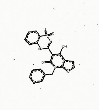 O=c1c(C2=NS(=O)(=O)c3ccccc3N2)c(O)c2ccsc2n1Cc1ccccc1